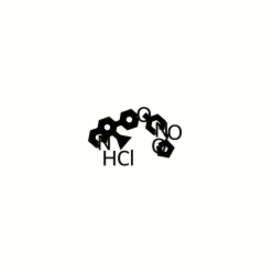 Cl.O=C([C@H]1CCCO1)N1CCC(Oc2ccc(-c3ccc4cccnc4c3C3CC3)cc2)CC1